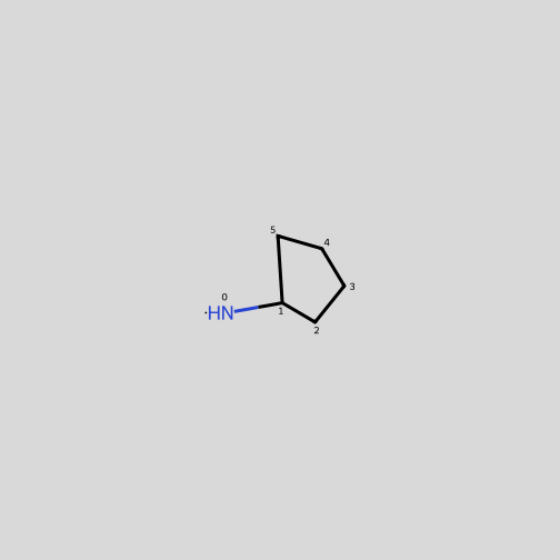 [NH]C1CCCC1